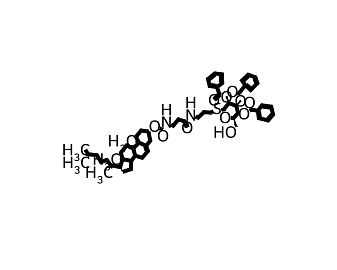 CC(C)CCC[C@@H](C)[C@H]1CCC2C3CC=C4CC(OC(=O)NCCC(=O)NCCCS[C@@H]5O[C@H](CO)[C@@H](OC(=O)c6ccccc6)[C@H](OC(=O)c6ccccc6)[C@@H]5OC(=O)c5ccccc5)CC[C@]4(C)C3CC[C@@]21C